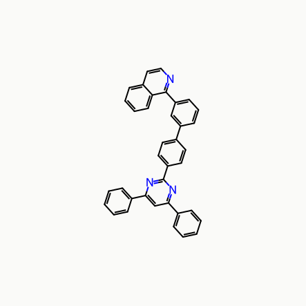 c1ccc(-c2cc(-c3ccccc3)nc(-c3ccc(-c4cccc(-c5nccc6ccccc56)c4)cc3)n2)cc1